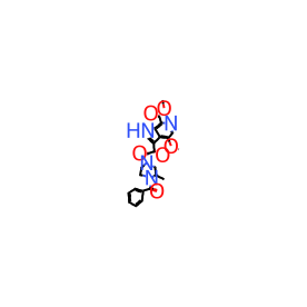 COC(=O)c1ncc(OC)c2c(C(=O)C(=O)N3CCN(C(=O)c4ccccc4)C(C)C3)c[nH]c12